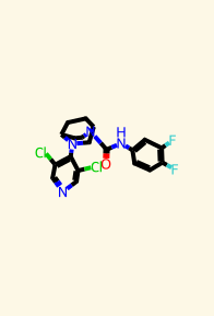 O=C(Nc1ccc(F)c(F)c1)N1CCC2CCC1CN2c1c(Cl)cncc1Cl